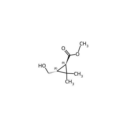 COC(=O)[C@@H]1[C@@H](CO)C1(C)C